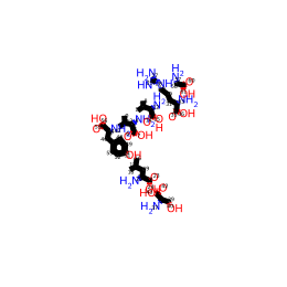 CC(C)C(N)C(=O)O.CC(C)C(N)C(=O)O.CC(C)CC(N)C(=O)O.N=C(N)NCCCC(N)C(=O)O.NC(CO)C(=O)O.NC(Cc1ccc(O)cc1)C(=O)O.NCC(=O)O